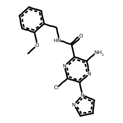 COc1ccccc1CNC(=O)c1nc(Cl)c(-n2cccn2)nc1N